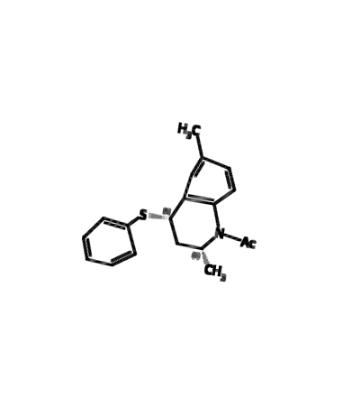 CC(=O)N1c2ccc(C)cc2[C@@H](Sc2ccccc2)C[C@H]1C